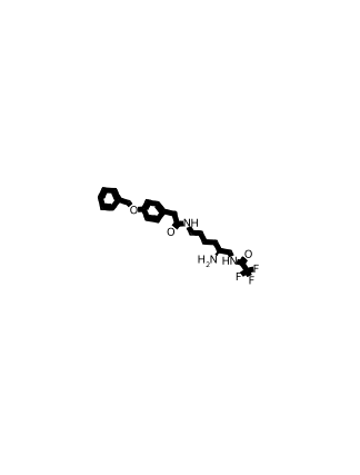 N[C@@H](CCCCNC(=O)Cc1ccc(OCc2ccccc2)cc1)CNC(=O)C(F)(F)F